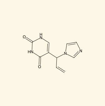 C=CC(c1c[nH]c(=O)[nH]c1=O)n1ccnc1